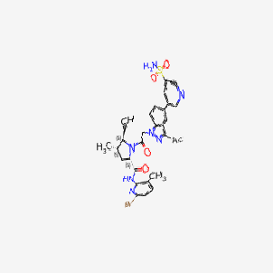 C#C[C@@H]1[C@@H](C)C[C@@H](C(=O)Nc2nc(Br)ccc2C)N1C(=O)Cn1nc(C(C)=O)c2cc(-c3cncc(S(N)(=O)=O)c3)ccc21